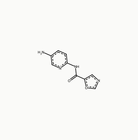 Nc1ccc(NC(=O)c2cnco2)nc1